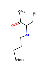 CCCCCCCCCCNC(CC(C)C)C(=O)OC